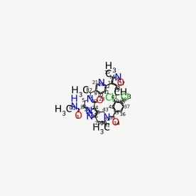 CNC(=O)[C@@H]1CN(C(C)c2ccc(-c3c(C)noc3C)nc2)C(=O)c2c3c(nn21)C[C@@H](C)N(C(=O)c1ccc(Cl)c(Cl)c1)C3